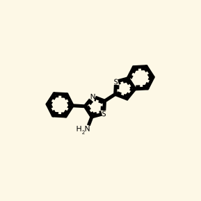 Nc1sc(-c2cc3ccccc3s2)nc1-c1ccccc1